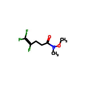 CON(C)C(=O)CCC(F)=C(F)F